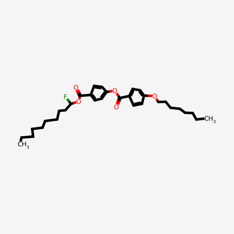 CCCCCCCCCC(F)OC(=O)c1ccc(OC(=O)c2ccc(OCCCCCCCC)cc2)cc1